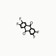 O=C1c2cc(F)c(F)cc2C(=O)c2cc(F)c(F)cc21